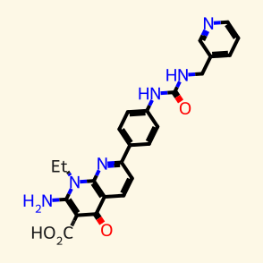 CCn1c(N)c(C(=O)O)c(=O)c2ccc(-c3ccc(NC(=O)NCc4cccnc4)cc3)nc21